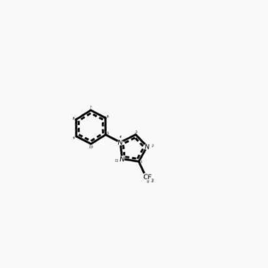 FC(F)(F)c1ncn(-c2ccccc2)n1